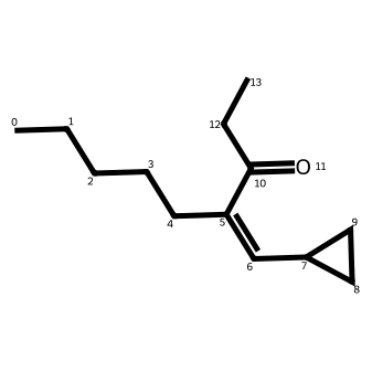 CCCCCC(=CC1CC1)C(=O)CC